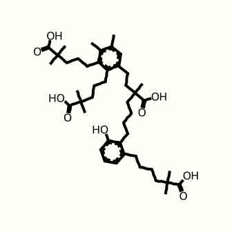 Cc1cc(CCC(C)(CCCCc2c(O)cccc2CCCCC(C)(C)C(=O)O)C(=O)O)c(CCCC(C)(C)C(=O)O)c(CCCC(C)(C)C(=O)O)c1C